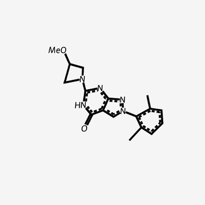 COC1CN(c2nc3nn(-c4c(C)cccc4C)cc3c(=O)[nH]2)C1